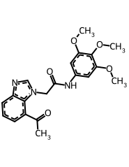 COc1cc(NC(=O)Cn2cnc3cccc(C(C)=O)c32)cc(OC)c1OC